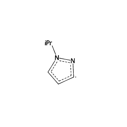 CC(C)n1cc[c]n1